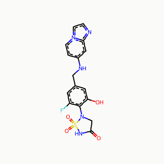 O=C1CN(c2c(O)cc(CNc3ccn4ccnc4c3)cc2F)S(=O)(=O)N1